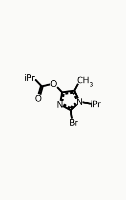 Cc1c(OC(=O)C(C)C)nc(Br)n1C(C)C